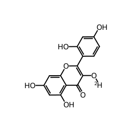 [2H]Oc1c(-c2ccc(O)cc2O)oc2cc(O)cc(O)c2c1=O